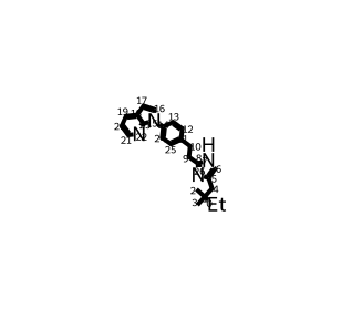 CCC(C)(C)Cc1c[nH]c(CCc2ccc(-n3ccc4cccnc43)cc2)n1